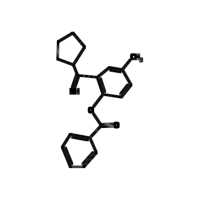 Cc1ccc(OC(=O)c2ccccc2)c(C(=N)C2CCCC2)c1